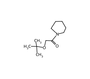 CC(C)(C)OCC(=O)N1CCCCC1